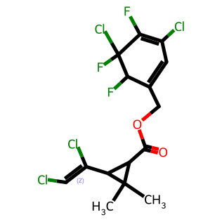 CC1(C)C(C(=O)OCC2=CC(Cl)=C(F)C(F)(Cl)C2F)C1/C(Cl)=C/Cl